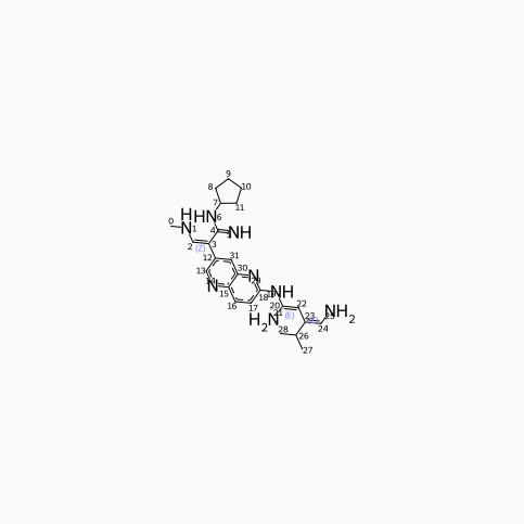 CN/C=C(\C(=N)NC1CCCC1)c1cnc2ccc(N/C(N)=C/C(=C\N)C(C)C)nc2c1